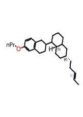 C/C=C/CC[C@@H]1CC[C@H]2C(CCCC2C2CCc3cc(OCCC)ccc3C2)C1